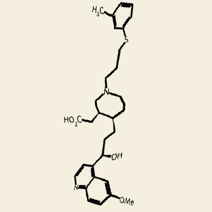 COc1ccc2nccc([C@H](O)CC[C@@H]3CCN(CCCSc4cccc(C)c4)C[C@@H]3CC(=O)O)c2c1